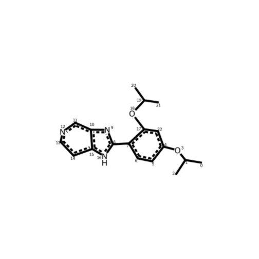 CC(C)Oc1ccc(-c2nc3cnccc3[nH]2)c(OC(C)C)c1